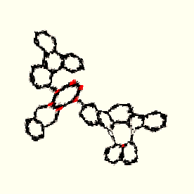 c1ccc(-n2c3ccccc3c3ccc4c5cc(-c6ccc(-c7cccc8c9ccccc9c9ccccc9c78)c7c6C6c8ccccc8C7c7ccccc76)ccc5n(-c5ccccc5)c4c32)cc1